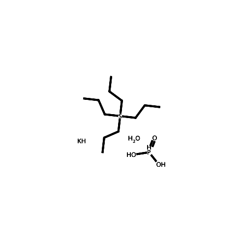 CCCS(CCC)(CCC)CCC.O.O=[PH](O)O.[KH]